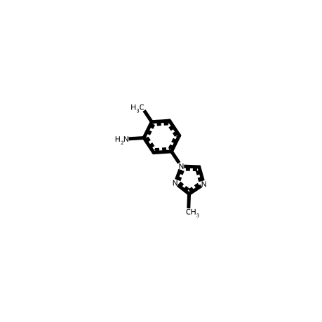 Cc1ncn(-c2ccc(C)c(N)c2)n1